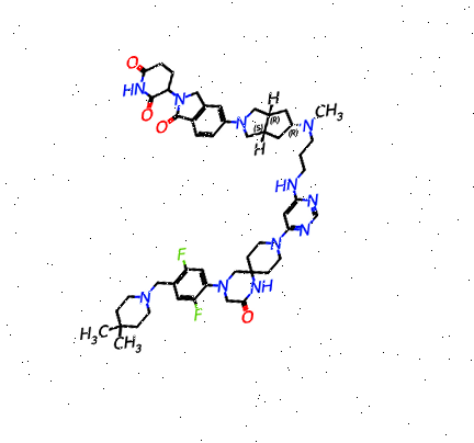 CN(CCCNc1cc(N2CCC3(CC2)CN(c2cc(F)c(CN4CCC(C)(C)CC4)cc2F)CC(=O)N3)ncn1)[C@@H]1C[C@@H]2CN(c3ccc4c(c3)CN(C3CCC(=O)NC3=O)C4=O)C[C@@H]2C1